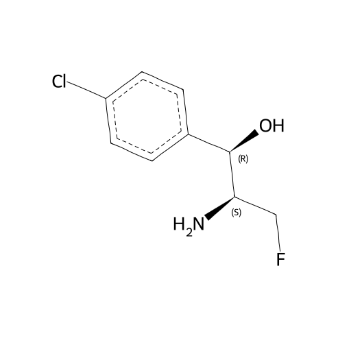 N[C@H](CF)[C@H](O)c1ccc(Cl)cc1